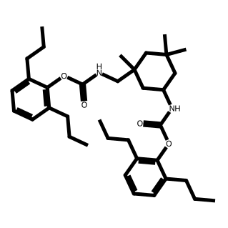 CCCc1cccc(CCC)c1OC(=O)NCC1(C)CC(NC(=O)Oc2c(CCC)cccc2CCC)CC(C)(C)C1